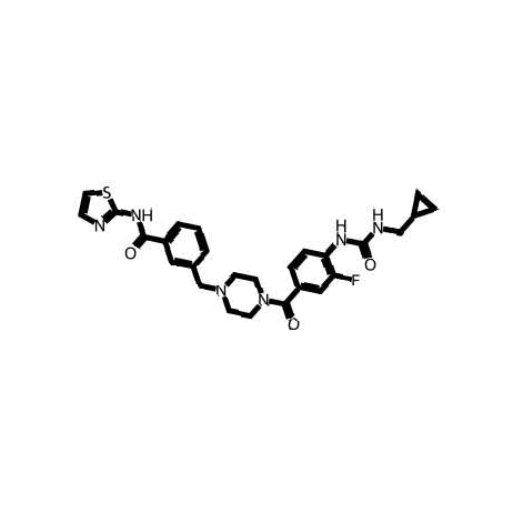 O=C(NCC1CC1)Nc1ccc(C(=O)N2CCN(Cc3cccc(C(=O)Nc4nccs4)c3)CC2)cc1F